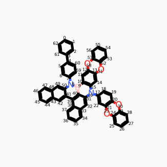 c1ccc(-c2ccc(N3B4c5cc6c(cc5N(c5ccc7c(c5)Oc5ccccc5O7)c5cc7ccccc7c(c54)-c4cc5ccccc5cc43)Oc3ccccc3O6)cc2)cc1